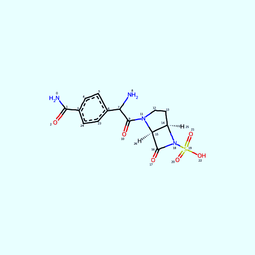 NC(=O)c1ccc(C(N)C(=O)N2CC[C@@H]3[C@H]2C(=O)N3S(=O)(=O)O)cc1